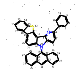 c1ccc(-c2ccc3c(n2)c2c4sc5ccccc5c4ccc2n3-c2c3ccccc3cc3ccccc23)cc1